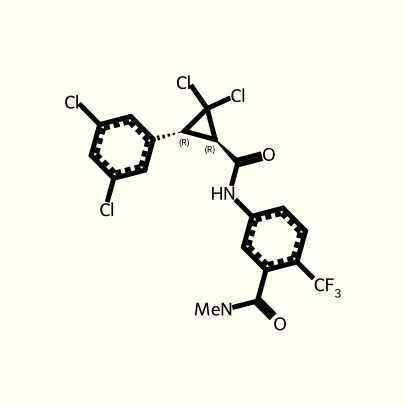 CNC(=O)c1cc(NC(=O)[C@H]2[C@H](c3cc(Cl)cc(Cl)c3)C2(Cl)Cl)ccc1C(F)(F)F